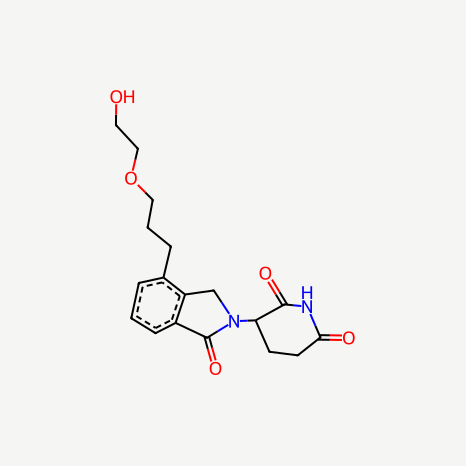 O=C1CCC(N2Cc3c(CCCOCCO)cccc3C2=O)C(=O)N1